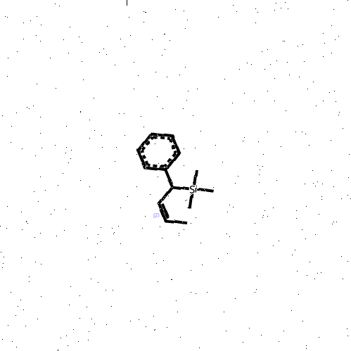 C/C=C\C(c1ccccc1)[Si](C)(C)C